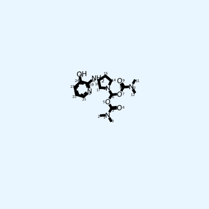 CN(C)C(=O)OC(OC(=O)N(C)C)N1CCCC1.Nc1ncccc1O